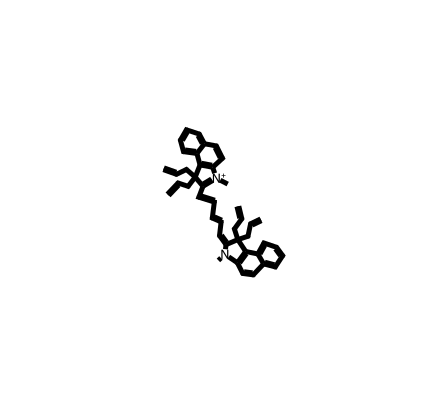 C=CCC1(CC=C)C(/C=C/C=C/C=C2/N(C)c3ccc4ccccc4c3C2(CC=C)CC=C)=[N+](C)c2ccc3ccccc3c21